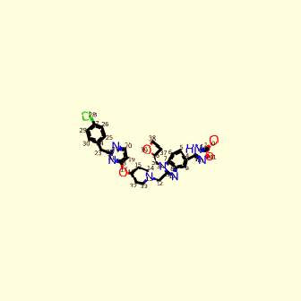 O=c1[nH]c(-c2ccc3c(c2)nc(CN2CCC(Oc4ccnc(Cc5ccc(Cl)cc5)n4)CC2)n3C[C@@H]2CCO2)no1